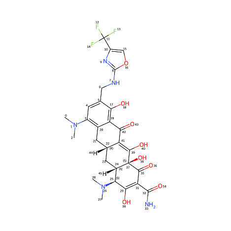 CN(C)c1cc(CNc2nc(C(F)(F)F)co2)c(O)c2c1C[C@H]1C[C@H]3[C@H](N(C)C)C(O)=C(C(N)=O)C(=O)[C@@]3(O)C(O)=C1C2=O